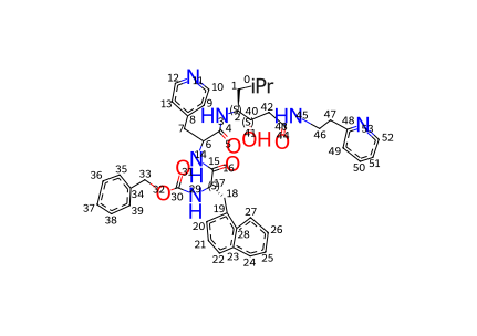 CC(C)C[C@H](NC(=O)C(Cc1ccncc1)NC(=O)[C@H](Cc1cccc2ccccc12)NC(=O)OCc1ccccc1)[C@@H](O)CC(=O)NCCc1ccccn1